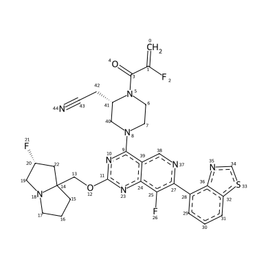 C=C(F)C(=O)N1CCN(c2nc(OCC34CCCN3C[C@H](F)C4)nc3c(F)c(-c4cccc5scnc45)ncc23)C[C@@H]1CC#N